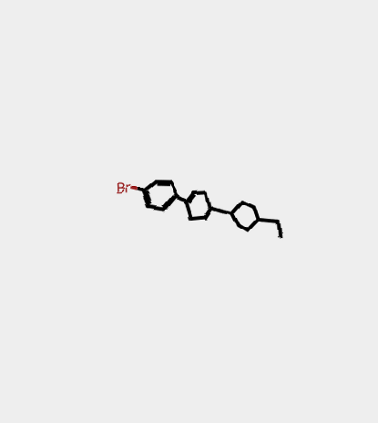 CCC1CCC(C2CC=C(c3ccc(Br)cc3)CC2)CC1